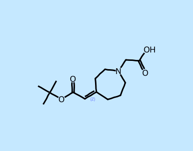 CC(C)(C)OC(=O)/C=C1/CCCN(CC(=O)O)CC1